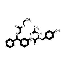 CCOC(=O)COC(c1ccccc1)c1cccc(NC(=O)[C@H](Cc2ccc(O)cc2)NC(C)=O)c1